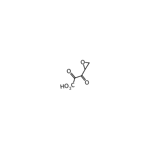 O=C(O)C(=O)C(=O)C1CO1